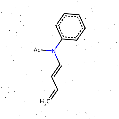 C=C/C=C/N(C(C)=O)c1ccccc1